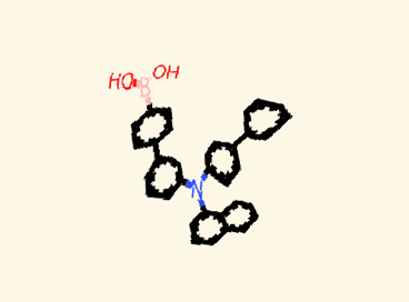 OB(O)c1ccc(-c2cccc(N(c3ccc(-c4ccccc4)cc3)c3cccc4ccccc34)c2)cc1